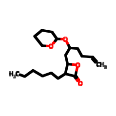 C=CCCC(CC1OC(=O)C1CCCCCC)OC1CCCCO1